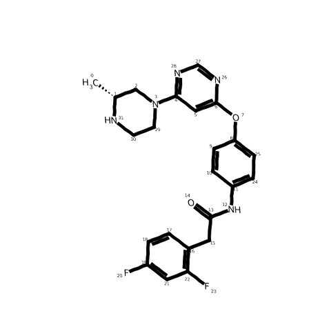 C[C@@H]1CN(c2cc(Oc3ccc(NC(=O)Cc4ccc(F)cc4F)cc3)ncn2)CCN1